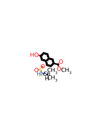 COC(=O)c1ccc2cc(O)ccc2c1.[CH3][SnH]([CH3])[NH][SH](=O)=O